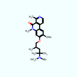 COc1cc2c3ccnc(C)c3c(=O)n(C)c2cc1OCC(C)CC(C)(C)N(C(=O)O)C(C)(C)C